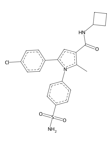 Cc1c(C(=O)NC2CCC2)cc(-c2ccc(Cl)cc2)n1-c1ccc(S(N)(=O)=O)cc1